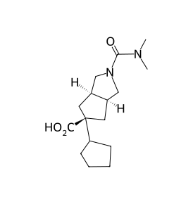 CN(C)C(=O)N1C[C@@H]2C[C@@](C(=O)O)(C3CCCC3)C[C@@H]2C1